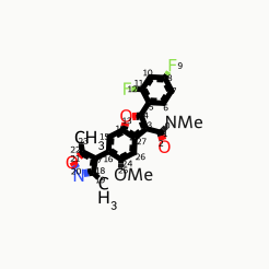 CNC(=O)c1c(-c2ccc(F)cc2F)oc2cc(-c3c(C)noc3C)c(OC)cc12